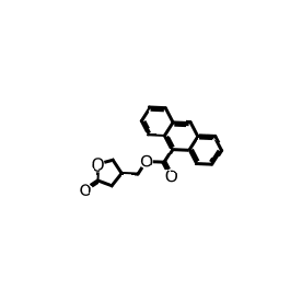 O=C1CC(COC(=O)c2c3ccccc3cc3ccccc23)CO1